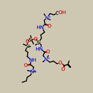 C=C(C)C(=O)OCCC[N+](C)(C)CC(=O)NC[Si](C)(CCCNC(=O)C[N+](C)(C)CCCO)O[Si](C)(C)O[Si](C)(C)CCCNC(=O)C[N+](C)(C)CCCC